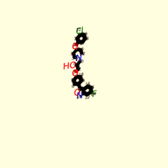 O[C@@H](COc1ccc(-c2onc3cc(F)ccc23)cc1)CN1CCC(Oc2cccc(Cl)c2)CC1